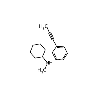 CC#Cc1ccccc1.CNC1CCCCC1